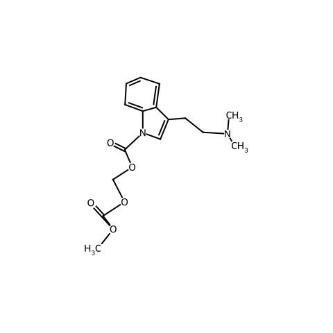 COC(=O)OCOC(=O)n1cc(CCN(C)C)c2ccccc21